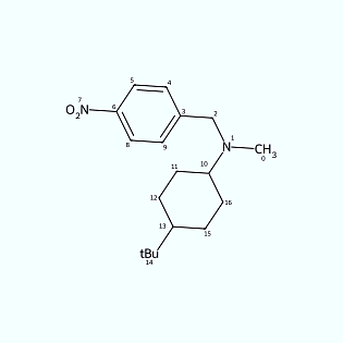 CN(Cc1ccc([N+](=O)[O-])cc1)C1CCC(C(C)(C)C)CC1